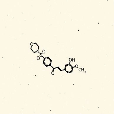 COc1ccc(/C=C/C(=O)c2ccc(S(=O)(=O)N3CCOCC3)cc2)cc1O